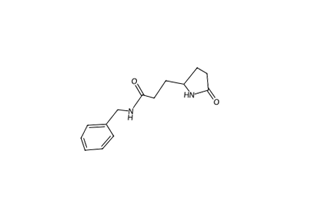 O=C(CCC1CCC(=O)N1)NCc1ccccc1